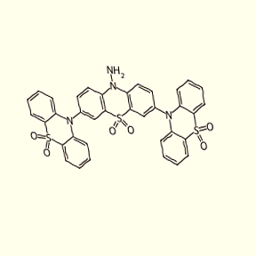 NN1c2ccc(N3c4ccccc4S(=O)(=O)c4ccccc43)cc2S(=O)(=O)c2cc(N3c4ccccc4S(=O)(=O)c4ccccc43)ccc21